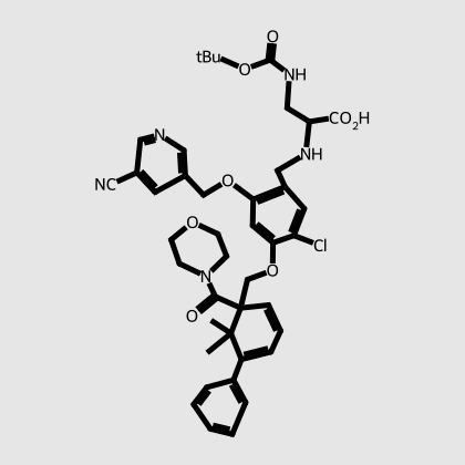 CC(C)(C)OC(=O)NCC(NCc1cc(Cl)c(OCC2(C(=O)N3CCOCC3)C=CC=C(c3ccccc3)C2(C)C)cc1OCc1cncc(C#N)c1)C(=O)O